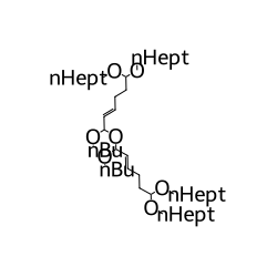 CCCCCCCOC(CCC=CC(OCCCC)OC(C=CCCC(OCCCCCCC)OCCCCCCC)OCCCC)OCCCCCCC